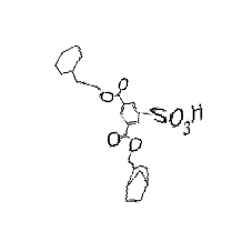 O=C(OCCC1CCCCC1)c1cc(C(=O)OCC2CC3CCC2C3)cc(S(=O)(=O)O)c1